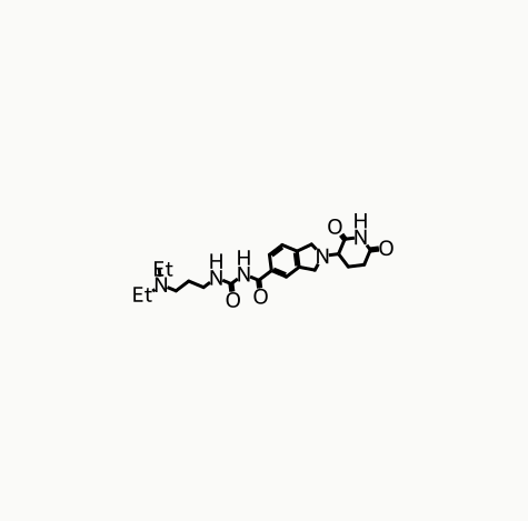 CCN(CC)CCCNC(=O)NC(=O)c1ccc2c(c1)CN(C1CCC(=O)NC1=O)C2